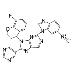 [C-]#[N+]c1ccc2ncn(-c3ncc4nc(-c5cncnc5)n(C5CCOc6c(F)cccc65)c4n3)c2c1